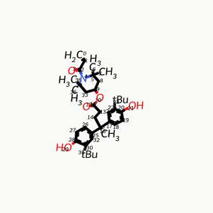 C=CC(=O)N1C(C)(C)CC(OC(=O)CCC(C)(c2ccc(O)c(C(C)(C)C)c2)c2ccc(O)c(C(C)(C)C)c2)CC1(C)C